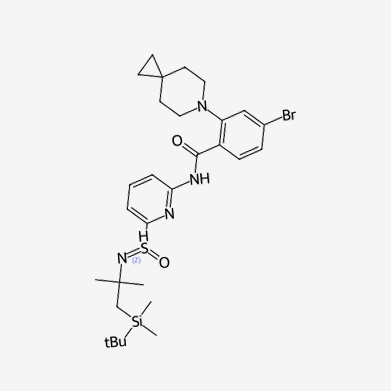 CC(C)(C[Si](C)(C)C(C)(C)C)/N=[SH](=O)/c1cccc(NC(=O)c2ccc(Br)cc2N2CCC3(CC2)CC3)n1